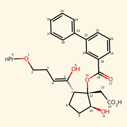 CCCOCCC=C(O)[C@H]1CC[C@H](O)[C@@]1(CC(=O)O)OC(=O)c1cccc(-c2ccccc2)c1